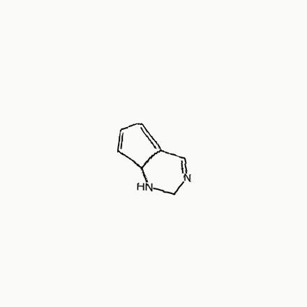 C1=CC2NCN=CC2=C1